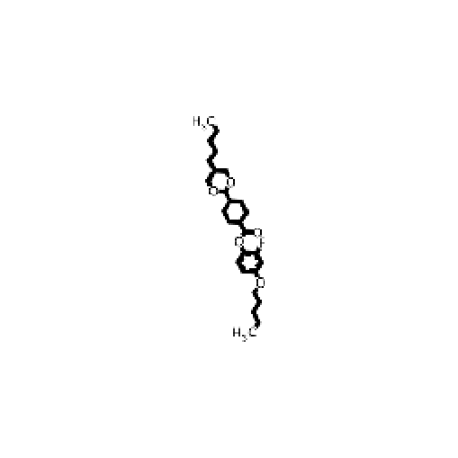 CCCCCOc1ccc(OC(=O)C2CCC(C3OCC(CCCCC)CO3)CC2)c(F)c1